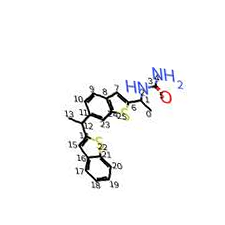 CC(NC(N)=O)c1cc2ccc(C(C)c3cc4ccccc4s3)cc2s1